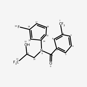 O=C(c1cccc(C(F)(F)F)c1)N(CC(O)C(F)(F)F)c1cccc(F)c1